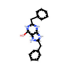 Oc1nc(Cc2ccccc2)nc2nc(Cc3ccccc3)[nH]c12